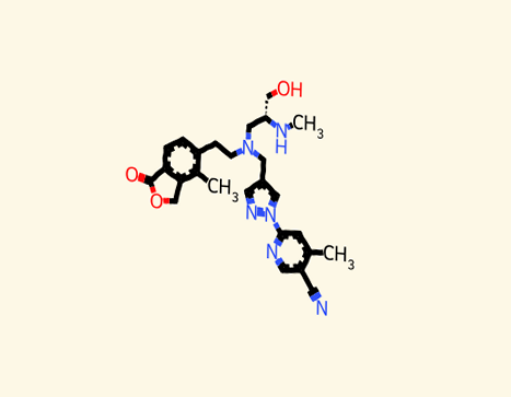 CN[C@@H](CO)CN(CCc1ccc2c(c1C)COC2=O)Cc1cnn(-c2cc(C)c(C#N)cn2)c1